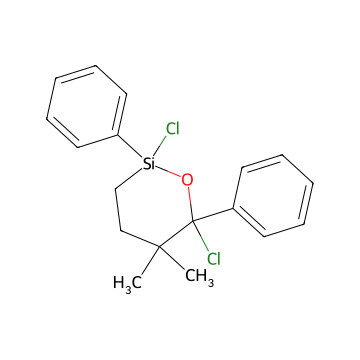 CC1(C)CC[Si](Cl)(c2ccccc2)OC1(Cl)c1ccccc1